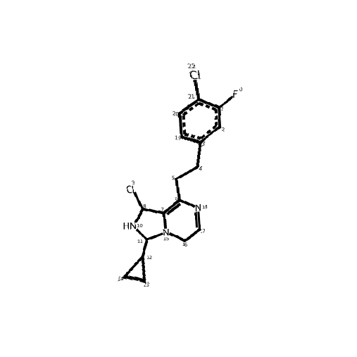 Fc1cc(CCC2=C3C(Cl)NC(C4CC4)N3CC=N2)ccc1Cl